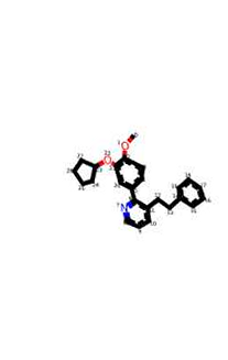 COc1ccc(-c2ncccc2CCc2ccccc2)cc1OC1CCCC1